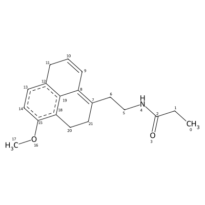 CCC(=O)NCCC1=C2C=CCc3ccc(OC)c(c32)CC1